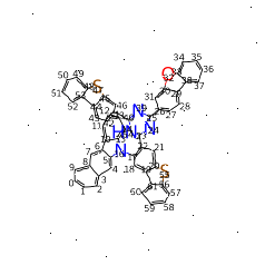 c1ccc2cc3c(cc2c1)c1ccccc1n3-c1cc2c(cc1C1N=C(c3ccc4c(c3)oc3ccccc34)N=C(c3ccc4c(c3)sc3ccccc34)N1)sc1ccccc12